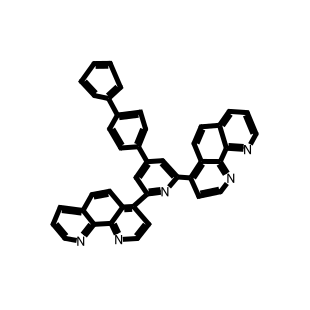 c1ccc(-c2ccc(-c3cc(-c4ccnc5c4ccc4cccnc45)nc(-c4ccnc5c4ccc4cccnc45)c3)cc2)cc1